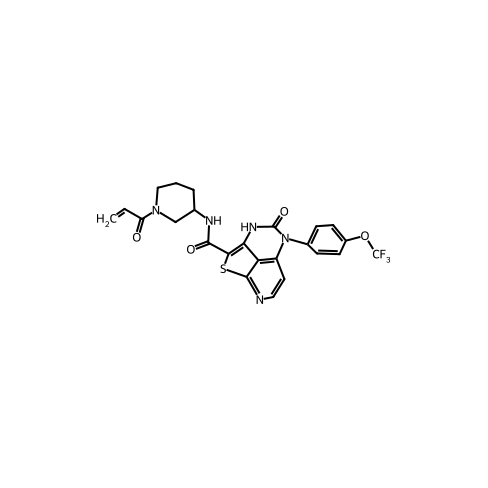 C=CC(=O)N1CCCC(NC(=O)c2sc3nccc4c3c2NC(=O)N4c2ccc(OC(F)(F)F)cc2)C1